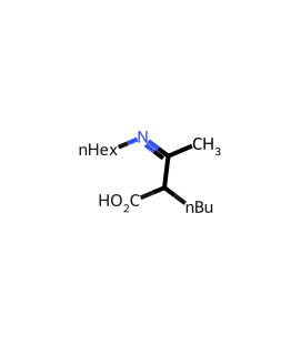 CCCCCCN=C(C)C(CCCC)C(=O)O